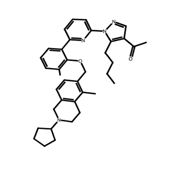 CCCCc1c(C(C)=O)cnn1-c1cccc(-c2cccc(C)c2OCc2ccc3c(c2C)CCN(C2CCCC2)C3)n1